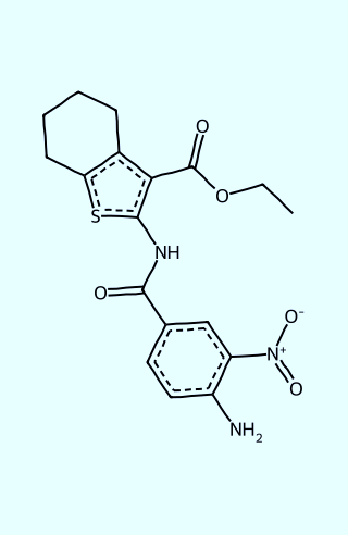 CCOC(=O)c1c(NC(=O)c2ccc(N)c([N+](=O)[O-])c2)sc2c1CCCC2